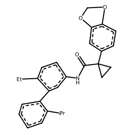 CCc1ccc(NC(=O)C2(c3ccc4c(c3)OCO4)CC2)cc1-c1ccccc1C(C)C